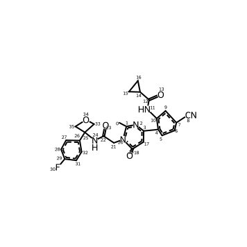 Cc1nc(-c2ccc(C#N)cc2NC(=O)C2CC2)cc(=O)n1CC(=O)NC1(c2ccc(F)cc2)COC1